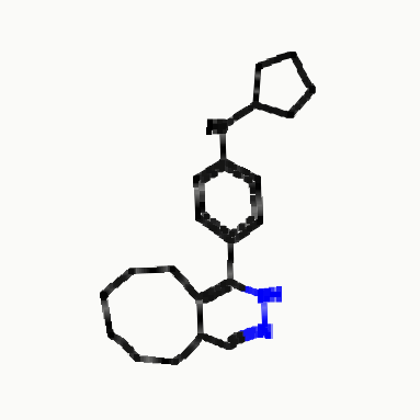 B(c1ccc(C2=C3CCCCCCC3C=NN2)cc1)C1CCCC1